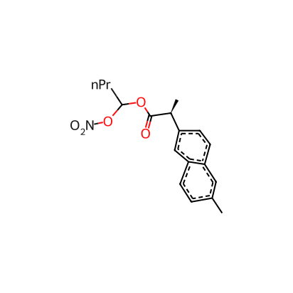 CCCC(OC(=O)[C@@H](C)c1ccc2cc(C)ccc2c1)O[N+](=O)[O-]